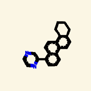 c1cc(-c2cnccn2)c2ccc3c4c(ccc3c2c1)CCCC4